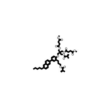 C=C(C)C(=O)OCCCc1cc(-c2ccc3cc(CCCCC)ccc3c2)ccc1OCC(COC(=O)CCC(=O)OC)(COC(=O)CCC(=O)OC)COC(=O)C(=C)C